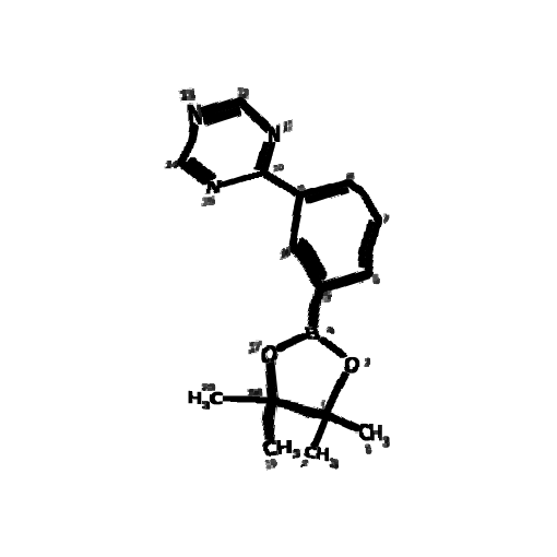 CC1(C)OB(c2cccc(-c3ncncn3)c2)OC1(C)C